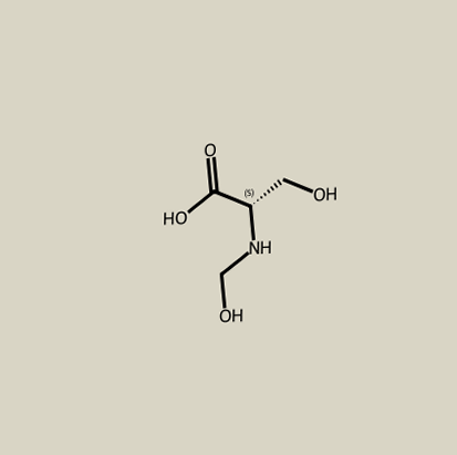 O=C(O)[C@H](CO)NCO